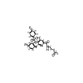 Cc1cc(C(=O)NCCC[S+](C)[O-])ncc1C(c1cc(F)ccc1F)S(=O)(=O)c1ccc(F)cc1